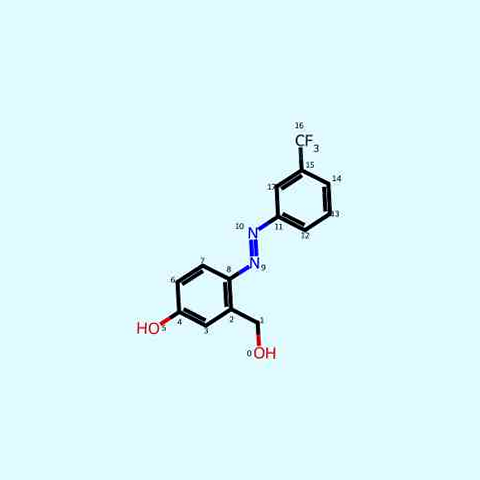 OCc1cc(O)ccc1N=Nc1cccc(C(F)(F)F)c1